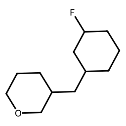 FC1CCCC(CC2CCCOC2)C1